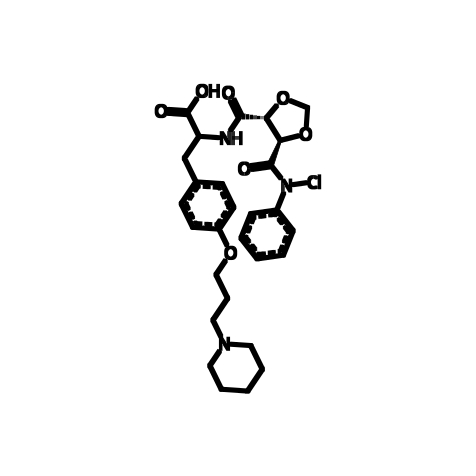 O=C(O)C(Cc1ccc(OCCCN2CCCCC2)cc1)NC(=O)[C@@H]1OCO[C@H]1C(=O)N(Cl)c1ccccc1